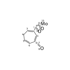 C1=CC=CCC=C1.[C]=O.[C]=O.[C]=O.[Mo]